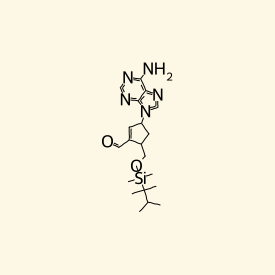 CC(C)C(C)(C)[Si](C)(C)OCC1CC(n2cnc3c(N)ncnc32)C=C1C=O